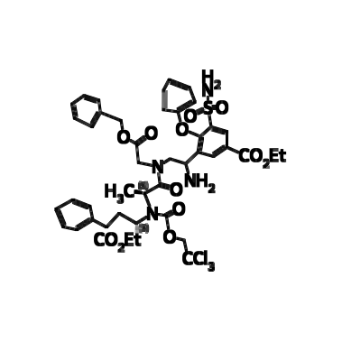 CCOC(=O)c1cc(C(N)CN(CC(=O)OCc2ccccc2)C(=O)[C@H](C)N(C(=O)OCC(Cl)(Cl)Cl)[C@@H](CCc2ccccc2)C(=O)OCC)c(Oc2ccccc2)c(S(N)(=O)=O)c1